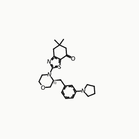 CC1(C)CC(=O)c2sc(N3CCOC[C@@H]3Cc3cccc(N4CCCC4)c3)nc2C1